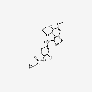 COc1cc2ncnc(Nc3ccc(NC(=O)NC4CC4)c(Cl)c3)c2c2c1OCCO2